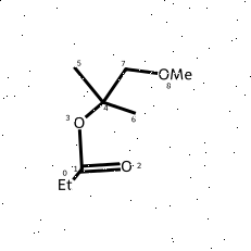 CCC(=O)OC(C)(C)COC